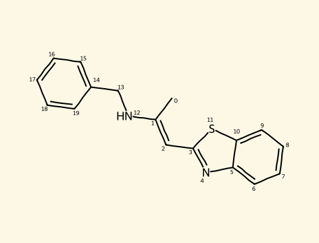 C/C(=C\c1nc2ccccc2s1)NCc1ccccc1